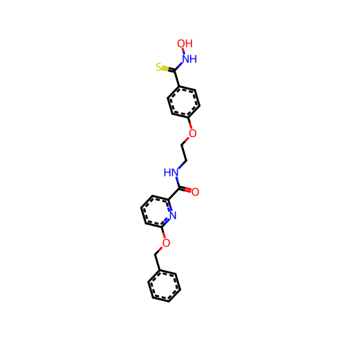 O=C(NCCOc1ccc(C(=S)NO)cc1)c1cccc(OCc2ccccc2)n1